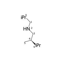 CC(C)CNC[C@H](C)C(C)C